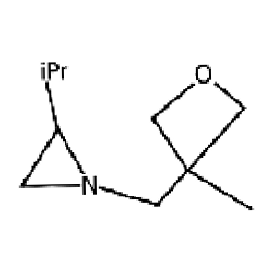 CC(C)C1CN1CC1(C)COC1